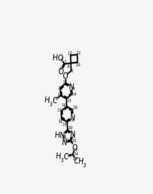 Cc1cc(OCC2(C(=O)O)CCC2)ncc1-c1ccc(-c2nc(OC(C)C)n[nH]2)nc1